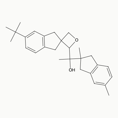 Cc1ccc2c(c1)CC(C)(C(C)(O)C1OCC13Cc1ccc(C(C)(C)C)cc1C3)C2